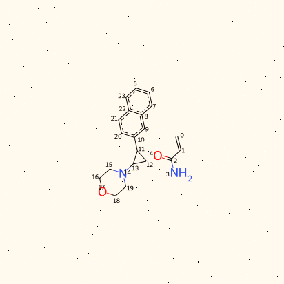 C=CC(N)=O.c1ccc2cc(C3CC3N3CCOCC3)ccc2c1